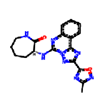 Cc1noc(-c2nc3c4ccccc4nc(N[C@@H]4CCCCNC4=O)n3n2)n1